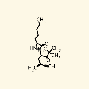 C#CC(=C)CC(C(=O)C(C)(C)C)N1NC(CCCCC)C1=O